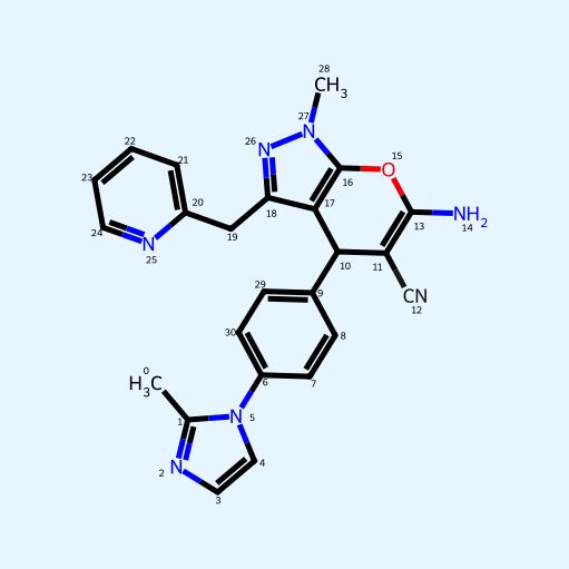 Cc1nccn1-c1ccc(C2C(C#N)=C(N)Oc3c2c(Cc2ccccn2)nn3C)cc1